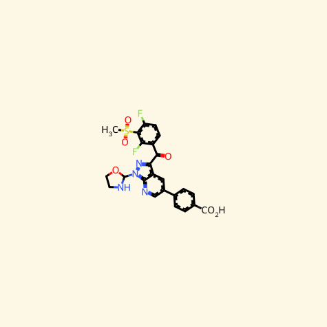 CS(=O)(=O)c1c(F)ccc(C(=O)c2nn(C3NCCO3)c3ncc(-c4ccc(C(=O)O)cc4)cc23)c1F